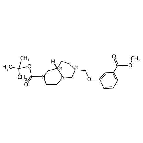 COC(=O)c1cccc(OC[C@@H]2CC[C@H]3CN(C(=O)OC(C)(C)C)CCN3C2)c1